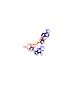 Nc1nc2c(ncn2[C@@H]2O[C@H](CO)C(O)[C@@H]2OP(=O)(S)OC[C@]23CO[C@@H](C2O)[C@H](n2ccc4c(N)ncnc42)O3)c(=O)[nH]1